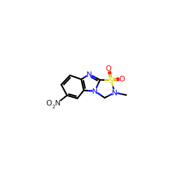 CN1Cn2c(nc3ccc([N+](=O)[O-])cc32)S1(=O)=O